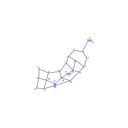 NC1CC2C3C(C1)C1C4C5CC6CC7C8C2C31NC84NC675